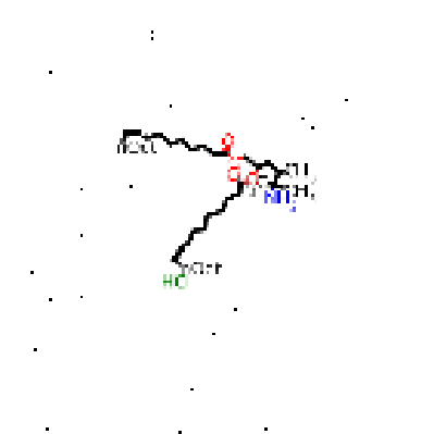 CCCCCCCC/C=C\CCCCCCCC(=O)OCC(CC(C)C(C)(C)N)OC(=O)CCCCCCC/C=C\CCCCCCCC.Cl